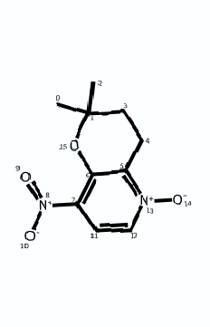 CC1(C)CCc2c(c([N+](=O)[O-])cc[n+]2[O-])O1